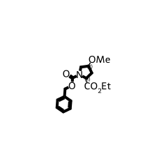 CCOC(=O)[C@H]1C[C@@H](OC)CN1C(=O)OCc1ccccc1